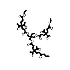 CCCC(=O)CCC(CCC(=O)OCC(CC)(COC(=O)CCC(CCC(=O)OCC)(C(C)=O)C(C)=O)COC(=O)CCC(CCC(=O)OCC)(C(C)=O)C(C)=O)(C(C)=O)C(C)=O